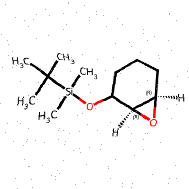 CC(C)(C)[Si](C)(C)OC1CCC[C@H]2O[C@@H]12